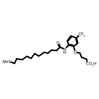 CSCCCCCCCCCCCC(=O)Nc1ccc(C(F)(F)F)cc1OCCCC(=O)O